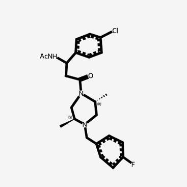 CC(=O)NC(CC(=O)N1C[C@H](C)N(Cc2ccc(F)cc2)C[C@H]1C)c1ccc(Cl)cc1